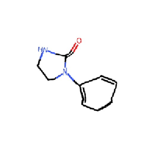 O=C1NCCN1C1=CCCC=C1